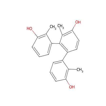 Cc1c(O)cccc1-c1ccc(O)c(C)c1-c1cccc(O)c1C